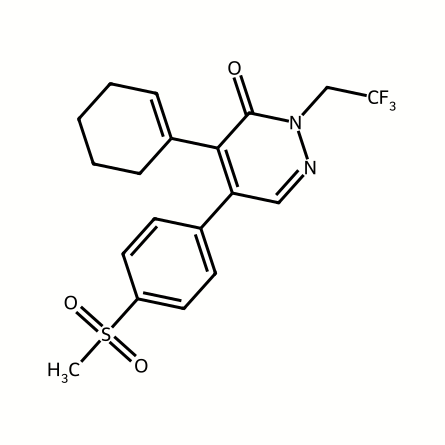 CS(=O)(=O)c1ccc(-c2cnn(CC(F)(F)F)c(=O)c2C2=CCCCC2)cc1